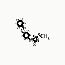 CSC1=NC(=O)/C(=C/c2ccc(OCc3ccccc3)cc2)S1